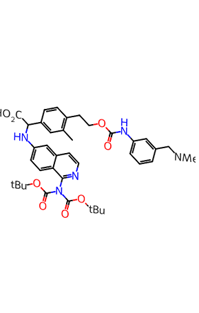 CNCc1cccc(NC(=O)OCCc2ccc(C(Nc3ccc4c(N(C(=O)OC(C)(C)C)C(=O)OC(C)(C)C)nccc4c3)C(=O)O)cc2C)c1